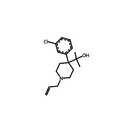 C=CCN1CCC(c2cccc(Cl)c2)(C(C)(C)O)CC1